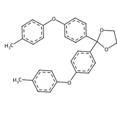 Cc1ccc(Oc2ccc(C3(c4ccc(Oc5ccc(C)cc5)cc4)OCCO3)cc2)cc1